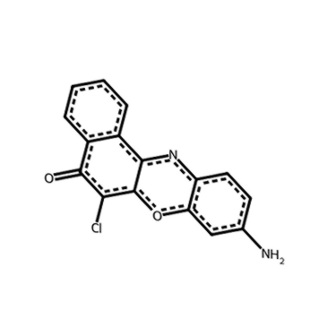 Nc1ccc2nc3c4ccccc4c(=O)c(Cl)c-3oc2c1